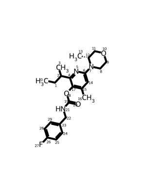 CCC(C)c1nc(N2CCOC[C@H]2C)cc(C)c1OC(=O)NCc1ccc(F)cc1